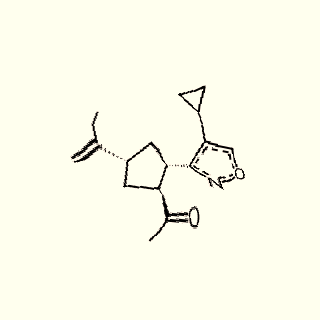 C=C(C)[C@H]1C[C@H](C(C)=O)[C@@H](c2nocc2C2CC2)C1